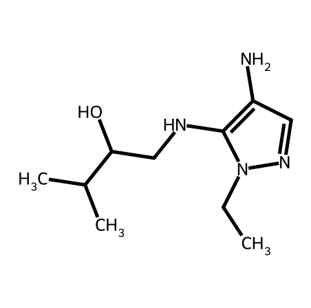 CCn1ncc(N)c1NCC(O)C(C)C